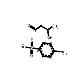 CC(O)CC=O.Nc1ccc(S(=O)(=O)O)cc1